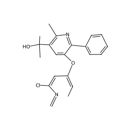 C=N/C(Cl)=C\C(=C/C)Oc1cc(C(C)(C)O)c(C)nc1-c1ccccc1